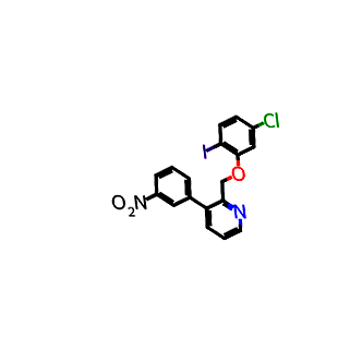 O=[N+]([O-])c1cccc(-c2cccnc2COc2cc(Cl)ccc2I)c1